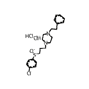 Cl.Cl.[O-][S+](CCCN1CCN(CCc2ccccc2)CC1)c1ccc(Cl)cc1